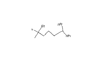 CCCC(CCC)CCCC(C)(F)CC